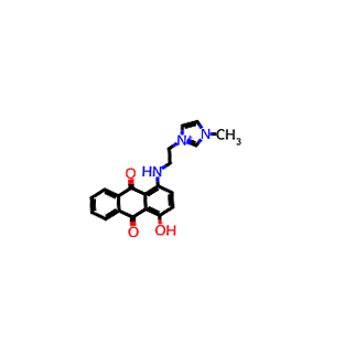 Cn1cc[n+](CCNc2ccc(O)c3c2C(=O)c2ccccc2C3=O)c1